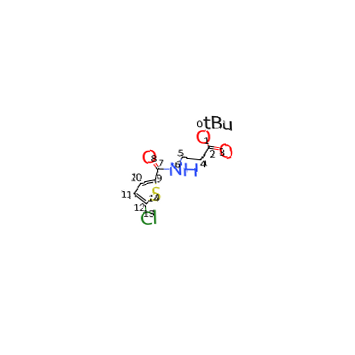 CC(C)(C)OC(=O)CCNC(=O)c1ccc(Cl)s1